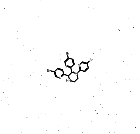 Brc1ccc(C2NCCN(c3ccc(Br)cn3)C2c2ccc(Br)cn2)nc1